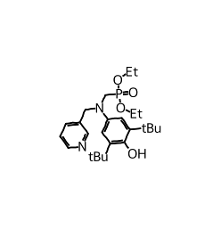 CCOP(=O)(CN(Cc1cccnc1)c1cc(C(C)(C)C)c(O)c(C(C)(C)C)c1)OCC